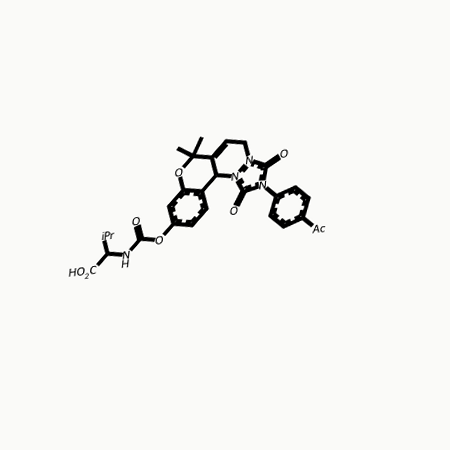 CC(=O)c1ccc(-n2c(=O)n3n(c2=O)C2C(=CC3)C(C)(C)Oc3cc(OC(=O)NC(C(=O)O)C(C)C)ccc32)cc1